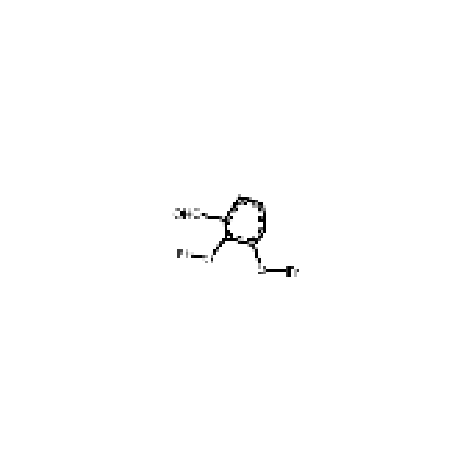 CCOc1c(C=O)cccc1OC(C)C